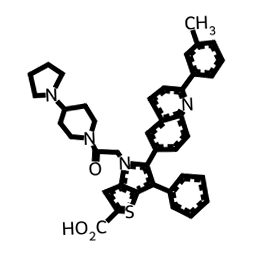 Cc1cccc(-c2ccc3cc(-c4c(-c5ccccc5)c5sc(C(=O)O)cc5n4CC(=O)N4CCC(N5CCCC5)CC4)ccc3n2)c1